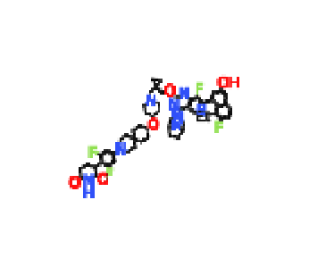 CCc1c(F)ccc2cc(O)cc(-c3ncc4c(N5CC6CCC(C5)N6)nc(OCC5(CN6CCC(OC7CCC8(CC7)CCN(c7cc(F)c(C9CCC(=O)NC9=O)c(F)c7)CC8)CC6)CC5)nc4c3F)c12